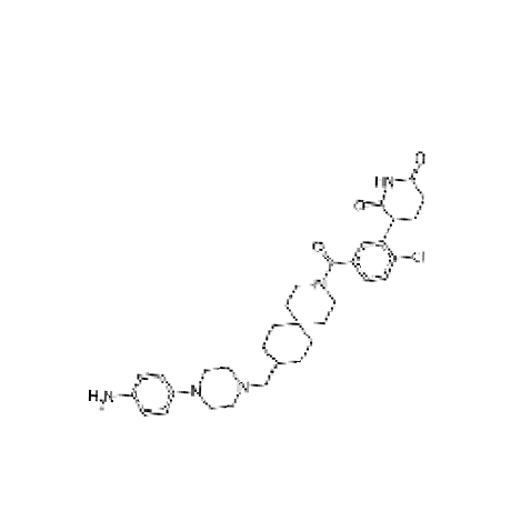 Nc1ccc(N2CCN(CC3CCC4(CC3)CCN(C(=O)c3ccc(Cl)c(C5CCC(=O)NC5=O)c3)CC4)CC2)cc1